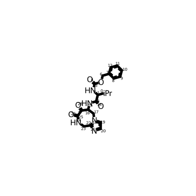 CC(C)C(NC(=O)OCc1ccccc1)C(=O)NC1Cn2ccnc2CNC(=O)C1=O